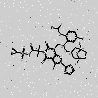 Cc1c(-c2ncco2)sc2c1c(=O)n(C(C)(C)C(=O)NS(=O)(=O)C1CC1)c(=O)n2C[C@H](O[C@@H]1C[C@H]2CC[C@@H](C1)O2)c1cc(F)ccc1OC(F)F